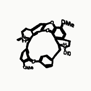 COc1ccc2cc1Oc1ccc(cc1)C[C@H]1c3c(cc(OC)c4c3Oc3cc5c(cc3O4)CCN(C)[C@H]5C2)CCN1C=O